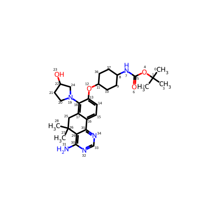 CC(C)(C)OC(=O)NC1CCC(Oc2ccc3c(c2N2CCC(O)C2)CC(C)(C)c2c(N)ncnc2-3)CC1